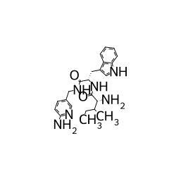 CCC(C)[C@@H](N)C(=O)N[C@@H](Cc1c[nH]c2ccccc12)C(=O)NCc1ccc(N)nc1